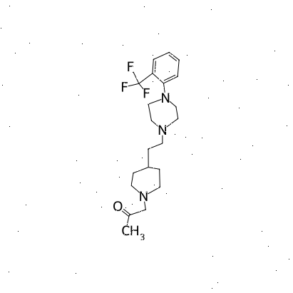 CC(=O)CN1CCC(CCN2CCN(c3ccccc3C(F)(F)F)CC2)CC1